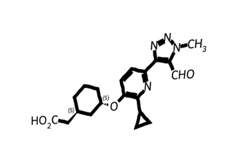 Cn1nnc(-c2ccc(O[C@H]3CCC[C@H](CC(=O)O)C3)c(C3CC3)n2)c1C=O